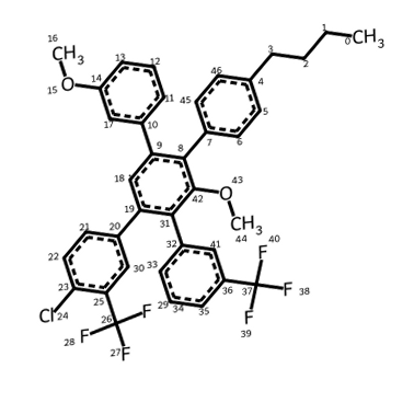 CCCCc1ccc(-c2c(-c3cccc(OC)c3)[c]c(-c3ccc(Cl)c(C(F)(F)F)c3)c(-c3cccc(C(F)(F)F)c3)c2OC)cc1